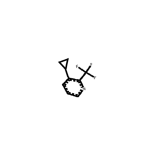 FC(F)(F)c1ncccc1C1CC1